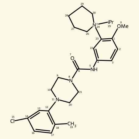 COc1ccc(NC(=O)N2CCN(c3cc(Cl)ccc3C)CC2)cc1[N+]1(C(C)C)CCCCC1